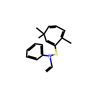 C=CN(SC1=CC(C)(C)C=CC=C1C)c1ccccc1